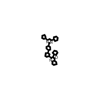 c1ccc(-c2cc(-c3ccccc3)nc(-c3ccc(-c4cccc(-c5nc6ccccc6c6oc7ccccc7c56)c4)cc3)n2)cc1